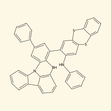 B1c2c(-c3cc4c(cc3Nc3ccccc3)Sc3ccccc3S4)cc(-c3ccccc3)cc2-n2c3ccccc3c3cccc1c32